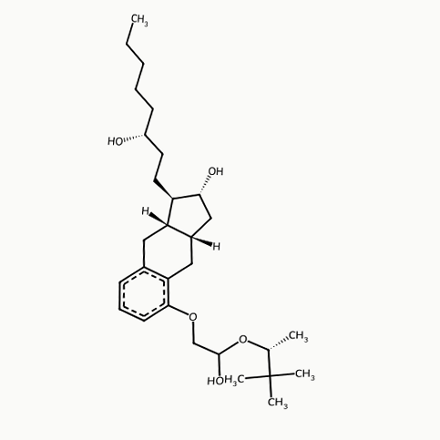 CCCCC[C@@H](O)CC[C@@H]1[C@H]2Cc3cccc(OCC(O)O[C@H](C)C(C)(C)C)c3C[C@H]2C[C@H]1O